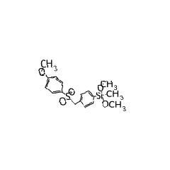 COc1ccc(S(=O)(=O)Cc2ccc([Si](C)(OC)OC)cc2)cc1